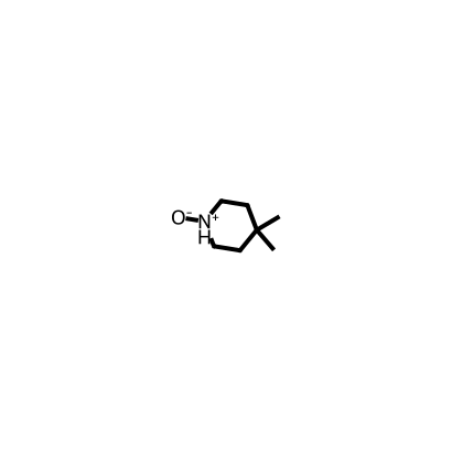 CC1(C)CC[NH+]([O-])CC1